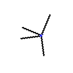 CCCCCCCCCCCCCCCCCC[N+](CCCCCCCCCCCCCCCC)(CCCCCCCCCCCCCCCC)CCCCCCCCCCCCCCCC